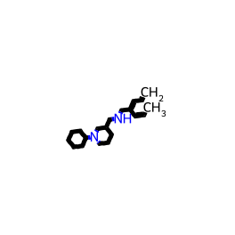 C=C/C=C(\C=C/C)CNCC1CCCN(C2CCCCC2)C1